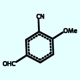 COc1ccc(C=O)cc1C#N